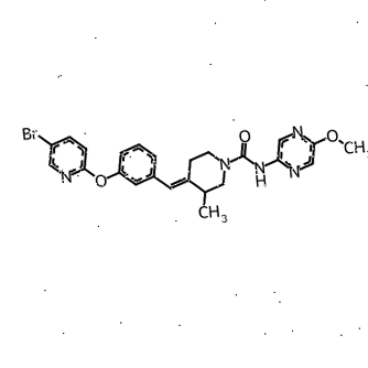 COc1cnc(NC(=O)N2CCC(=Cc3cccc(Oc4ccc(Br)cn4)c3)C(C)C2)cn1